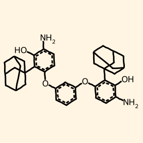 Nc1ccc(Oc2cccc(Oc3ccc(N)c(O)c3C34CC5CC(CC(C5)C3)C4)c2)c(C23CC4CC(CC(C4)C2)C3)c1O